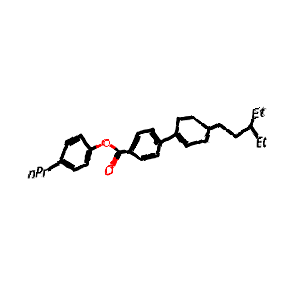 CCCc1ccc(OC(=O)c2ccc(C3=CCC(CCC(CC)CC)CC3)cc2)cc1